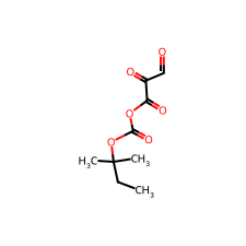 CCC(C)(C)OC(=O)OC(=O)C(=O)C=O